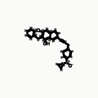 [O-][S+](c1ccc(CC#Cc2ccc3cc(O)c(Cc4ccccc4)c(O)c3c2)cc1)N1CC1